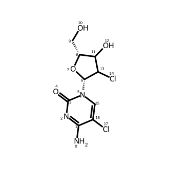 Nc1nc(=O)n([C@@H]2O[C@H](CO)C(O)C2Cl)cc1Cl